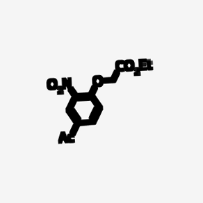 CCOC(=O)COc1ccc(C(C)=O)cc1[N+](=O)[O-]